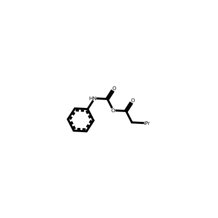 CC(C)CC(=O)OC(=O)Nc1ccccc1